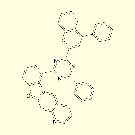 c1ccc(-c2nc(-c3cc(-c4ccccc4)c4ccccc4c3)nc(-c3cccc4oc5cc6ncccc6cc5c34)n2)cc1